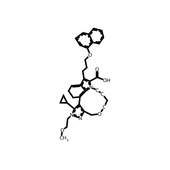 COCCn1nc2c(c1C1CC1)C1=c3c(c(CCCOc4cccc5ccccc45)c(C(=O)O)n3CCCCOC2)=CCC1